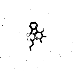 CCCC(=O)NC1=C(C(I)C(C)CC)c2ccccc2C1=O